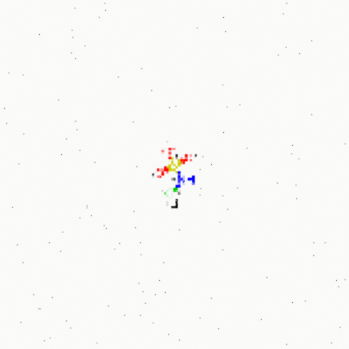 O=S(=O)([O-])NCl.[Li+]